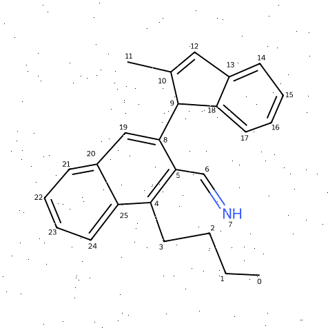 CCCCc1c(C=N)c(C2C(C)=Cc3ccccc32)cc2ccccc12